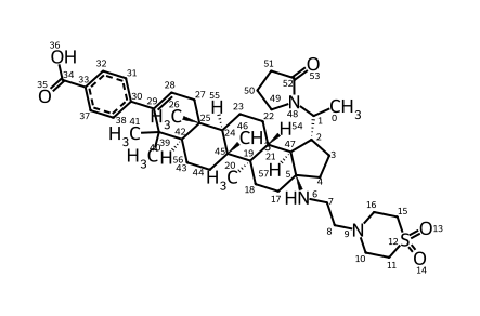 CC([C@@H]1CC[C@]2(NCCN3CCS(=O)(=O)CC3)CC[C@]3(C)[C@H](CC[C@@H]4[C@@]5(C)CC=C(c6ccc(C(=O)O)cc6)C(C)(C)[C@@H]5CC[C@]43C)[C@@H]12)N1CCCC1=O